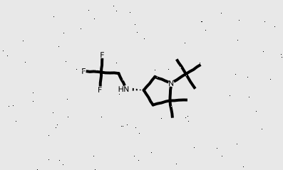 CC(C)(C)N1C[C@@H](NCC(F)(F)F)CC1(C)C